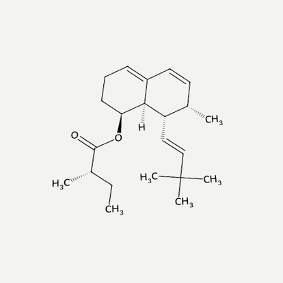 CC[C@H](C)C(=O)O[C@H]1CCC=C2C=C[C@H](C)[C@H](/C=C/C(C)(C)C)[C@H]21